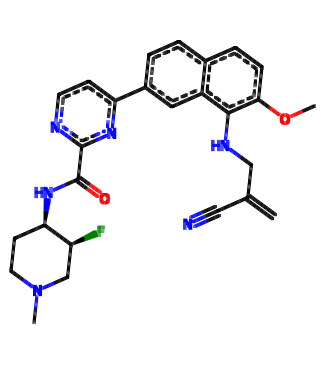 C=C(C#N)CNc1c(OC)ccc2ccc(-c3ccnc(C(=O)N[C@@H]4CCN(C)C[C@@H]4F)n3)cc12